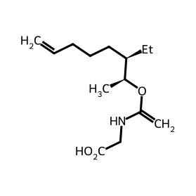 C=CCCC[C@@H](CC)[C@H](C)OC(=C)NCC(=O)O